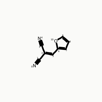 N#CC(C#N)=Cc1ccco1